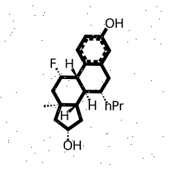 CCC[C@H]1Cc2cc(O)ccc2[C@@H]2[C@@H]1[C@@H]1C[C@H](O)C[C@@]1(C)C[C@@H]2F